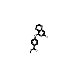 COC(=O)c1ccc(Oc2nc(Cl)cc3nccnc23)cc1